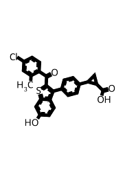 Cc1cc(Cl)ccc1C(=O)c1sc2cc(O)ccc2c1-c1ccc(C2CC2C(=O)O)cc1